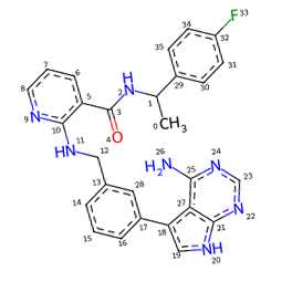 CC(NC(=O)c1cccnc1NCc1cccc(-c2c[nH]c3ncnc(N)c23)c1)c1ccc(F)cc1